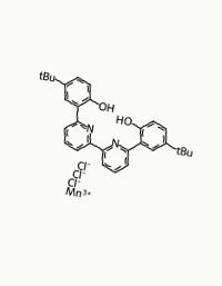 CC(C)(C)c1ccc(O)c(-c2cccc(-c3cccc(-c4cc(C(C)(C)C)ccc4O)n3)n2)c1.[Cl-].[Cl-].[Cl-].[Mn+3]